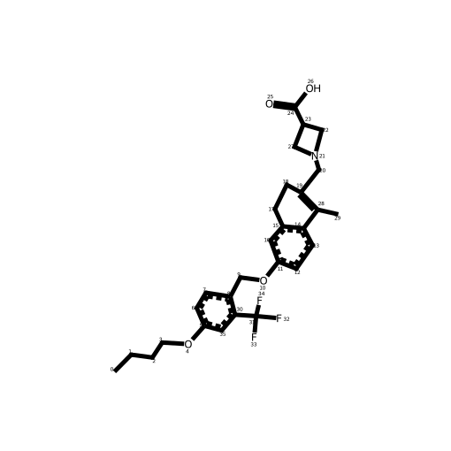 CCCCOc1ccc(COc2ccc3c(c2)CCC(CN2CC(C(=O)O)C2)=C3C)c(C(F)(F)F)c1